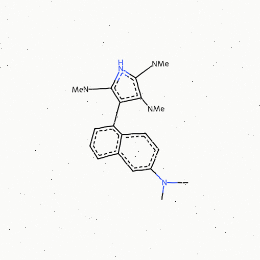 CNc1[nH]c(NC)c(-c2cccc3cc(N(C)C)ccc23)c1NC